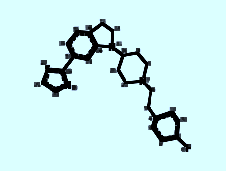 Fc1ccc(CCN2CCC(N3CCc4ccc(-c5nccs5)cc43)CC2)cc1